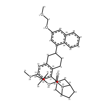 COCOc1cc(C2CCc3c(nc(SC)nc3N3CC4CCC(C3)N4C(=O)OC(C)(C)C)C2)c2ccccc2c1